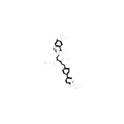 COc1ccc2c(=O)n(CC[C@H](C(=O)O)[C@H](O)CCc3ccc(-c4ccc(OC)nc4)cc3)nnc2c1